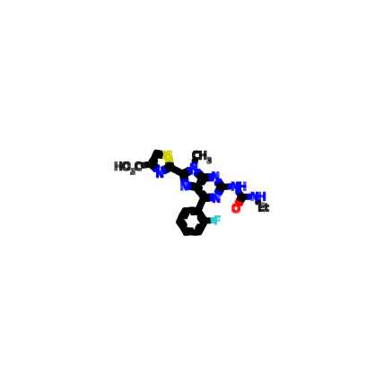 CCNC(=O)Nc1nc(-c2ccccc2F)c2nc(-c3nc(C(=O)O)cs3)n(C)c2n1